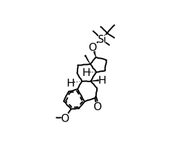 COc1ccc2c(c1)C(=O)C[C@@H]1[C@@H]2CC[C@]2(C)[C@@H](O[Si](C)(C)C(C)(C)C)CC[C@@H]12